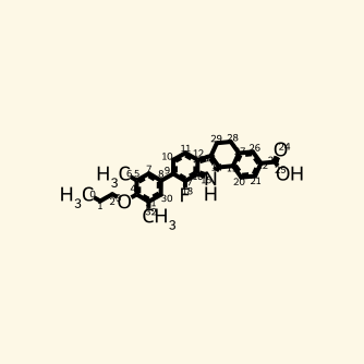 CCCOc1c(C)cc(-c2ccc3c4c([nH]c3c2F)-c2ccc(C(=O)O)cc2CC4)cc1C